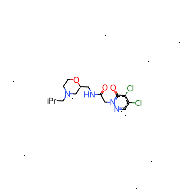 CC(C)CN1CCOC(CNC(=O)Cn2ncc(Cl)c(Cl)c2=O)C1